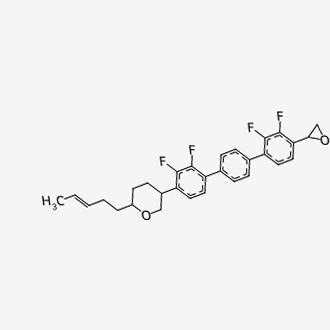 C/C=C/CCC1CCC(c2ccc(-c3ccc(-c4ccc(C5CO5)c(F)c4F)cc3)c(F)c2F)CO1